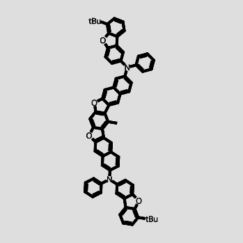 Cc1c2c(cc3oc4cc5cc(N(c6ccccc6)c6ccc7oc8c(C(C)(C)C)cccc8c7c6)ccc5cc4c13)oc1cc3cc(N(c4ccccc4)c4ccc5oc6c(C(C)(C)C)cccc6c5c4)ccc3cc12